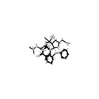 Cc1cn([C@]2([SiH](c3ccccc3)c3ccccc3)O[C@H](CO)[C@@H](O)[C@]2(OCCON(C)C)C(C)(C)C)c(=O)[nH]c1=O